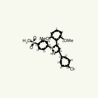 COc1cccc(OC)c1-c1cc(-c2ccc(Cl)cc2)nn1-c1ccc(S(C)(=O)=O)cc1